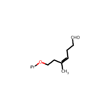 CC(=CCCC=O)CCOC(C)C